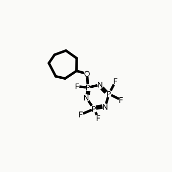 FP1(F)=NP(F)(F)=NP(F)(OC2CCCCCC2)=N1